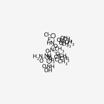 C[C@H](CO[Si](C)(C)C(C)(C)C)N(CC(=O)N[C@@H](CO[Si](C)(C)C(C)(C)C)c1cccc(Cl)c1F)C(=O)Cn1nc(C(N)=O)c2cc(NC(=O)O)ccc21